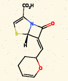 O=C(O)C1=CS[C@H]2/C(=C\C3CCC=CO3)C(=O)N12